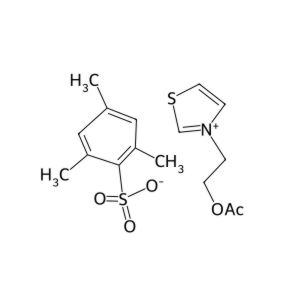 CC(=O)OCC[n+]1ccsc1.Cc1cc(C)c(S(=O)(=O)[O-])c(C)c1